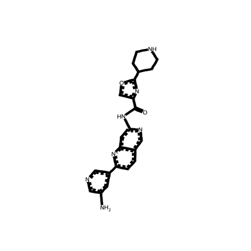 Nc1cncc(-c2ccc3cnc(NC(=O)c4coc(C5CCNCC5)n4)cc3n2)c1